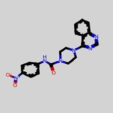 O=C(Nc1ccc([N+](=O)[O-])cc1)N1CCN(c2ncnc3ccccc23)CC1